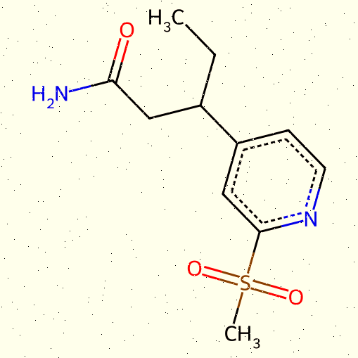 CCC(CC(N)=O)c1ccnc(S(C)(=O)=O)c1